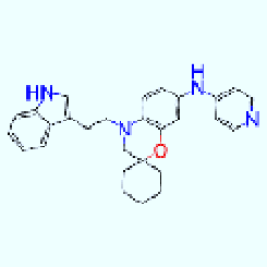 c1ccc2c(CCN3CC4(CCCCC4)Oc4cc(Nc5ccncc5)ccc43)c[nH]c2c1